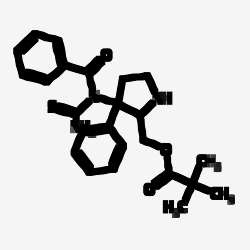 CC(C)(C)C(=O)OCC1NCCC1(c1ccccc1)N(C(=O)c1ccccc1)C(N)=S